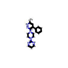 CC(C)c1cc(-c2ccccc2)c(N2CCN(c3ncccn3)CC2)nn1